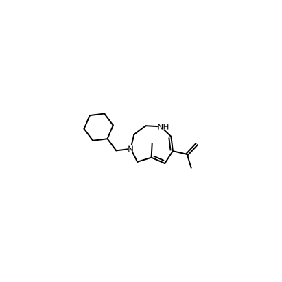 C=C(C)C1=C/NCCN(CC2CCCCC2)C\C(C)=C\1